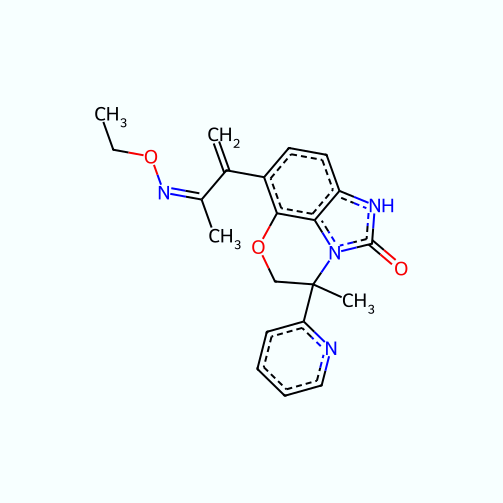 C=C(/C(C)=N\OCC)c1ccc2[nH]c(=O)n3c2c1OCC3(C)c1ccccn1